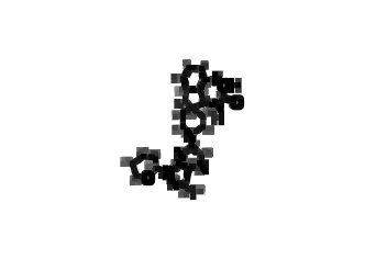 O=C(O)N[C@@H]1c2c(F)cccc2CC12CCN(c1cnc3c(I)nn(C4CCCCO4)c3n1)CC2